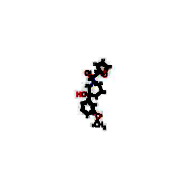 COc1cccc(C2(O)CCCN(C(=O)c3ccco3)C2)c1